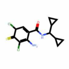 NC1=C(Cl)C(=S)C(Cl)C=C1C(=O)NC(C1CC1)C1CC1